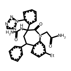 CCc1ccc2c(c1)N(CC(N)=O)C(=O)C(NC(N)=O)(c1ccccc1-n1ncnn1)CC2c1ccccc1